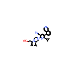 N#Cc1cc(-c2cccc3cnccc23)c(C2CC2)nc1N1CCN(C(CCO)=C2CC2)C(C2CC2)C1